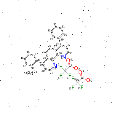 O=C([O-])C(F)(F)F.O=C([O-])C(F)(F)F.[Pd+2].c1ccc(-c2ccnc3c2ccc2c(-c4ccccc4)ccnc23)cc1